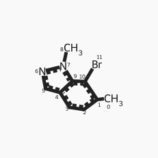 Cc1ccc2cnn(C)c2c1Br